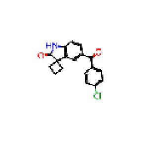 O=C(c1ccc(Cl)cc1)c1ccc2c(c1)C1(CCC1)C(=O)N2